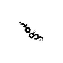 CC[C@]1(O)CC[C@@]2(CCN(c3ccc(C(C)(C)COC)cc3)C2=O)CC1